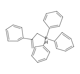 C=C(C[PH](c1ccccc1)(c1ccccc1)c1ccccc1)c1ccccc1